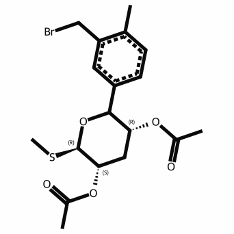 CS[C@H]1OC(c2ccc(C)c(CBr)c2)[C@H](OC(C)=O)C[C@@H]1OC(C)=O